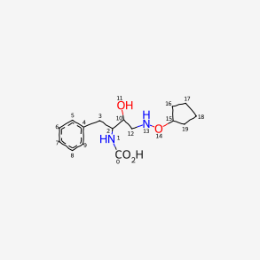 O=C(O)NC(Cc1ccccc1)C(O)CNOC1CCCC1